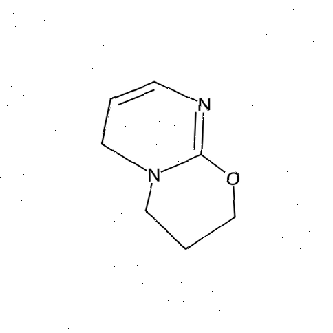 C1=CN=C2OCCCN2C1